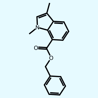 Cc1cn(C)c2c(C(=O)OCc3ccccc3)cccc12